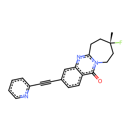 C[C@]1(F)CCc2nc3cc(C#Cc4ccccn4)ccc3c(=O)n2CC1